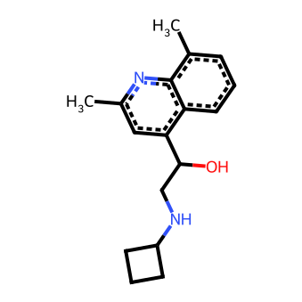 Cc1cc(C(O)CNC2CCC2)c2cccc(C)c2n1